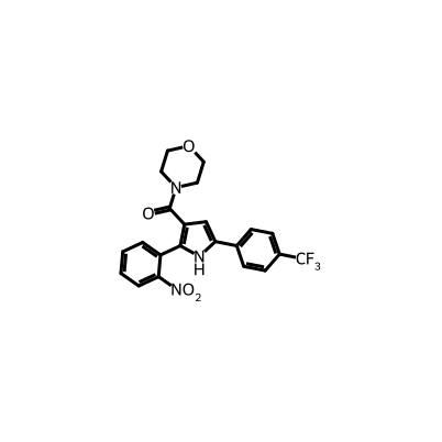 O=C(c1cc(-c2ccc(C(F)(F)F)cc2)[nH]c1-c1ccccc1[N+](=O)[O-])N1CCOCC1